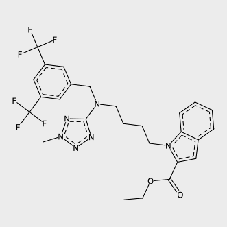 CCOC(=O)c1cc2ccccc2n1CCCCN(Cc1cc(C(F)(F)F)cc(C(F)(F)F)c1)c1nnn(C)n1